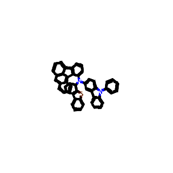 c1ccc(-n2c3ccccc3c3cc(N(c4cccc5c4-c4c6ccccc6cc6cccc-5c46)C4CCCc5c4sc4ccccc54)ccc32)cc1